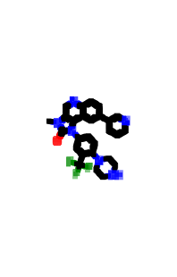 Cn1c(=O)n(-c2ccc(N3CCNCC3)c(C(F)(F)F)c2)c2c3cc(-c4cccnc4)ccc3ncc21